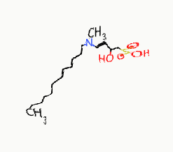 CCCCCCCCCCCCN(C)C=CC(O)CS(=O)(=O)O